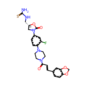 NC(=S)NC[C@H]1CN(c2ccc(N3CCN(C(=O)C=Cc4ccc5c(c4)OCO5)CC3)c(F)c2)C(=O)O1